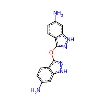 Nc1ccc2c(Oc3n[nH]c4cc(N)ccc34)n[nH]c2c1